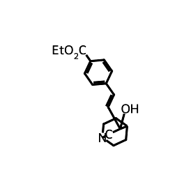 CCOC(=O)c1ccc(C=CC2(O)CN3CCC2CC3)cc1